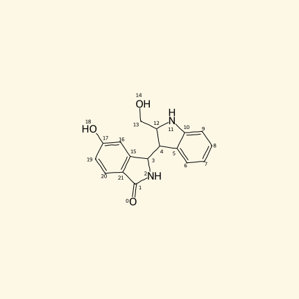 O=C1NC(C2c3ccccc3NC2CO)c2cc(O)ccc21